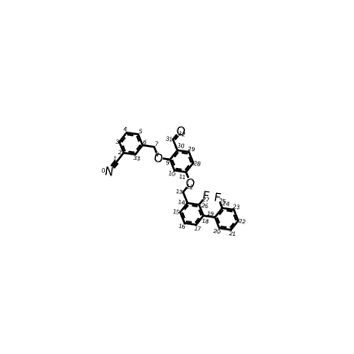 N#Cc1cccc(COc2cc(OCc3cccc(-c4ccccc4F)c3F)ccc2C=O)c1